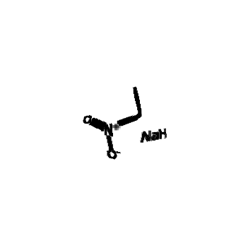 CC[N+](=O)[O-].[NaH]